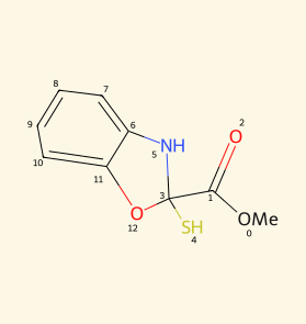 COC(=O)C1(S)Nc2ccccc2O1